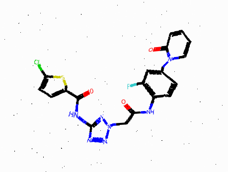 O=C(Cn1nnc(NC(=O)c2ccc(Cl)s2)n1)Nc1ccc(-n2ccccc2=O)cc1F